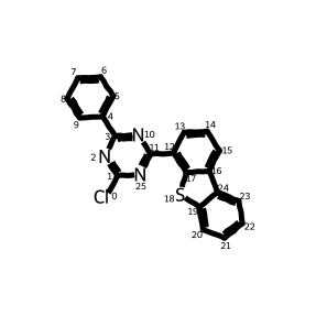 Clc1nc(-c2ccccc2)nc(-c2cccc3c2sc2ccccc23)n1